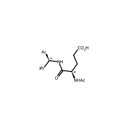 CC(=O)N[C@H](CCC(=O)O)C(=O)N[C@H](C(C)=O)C(C)C